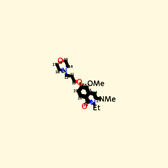 CCn1c(NC)cc2c(OC)c(OCCCN3CCOCC3)ccc2c1=O